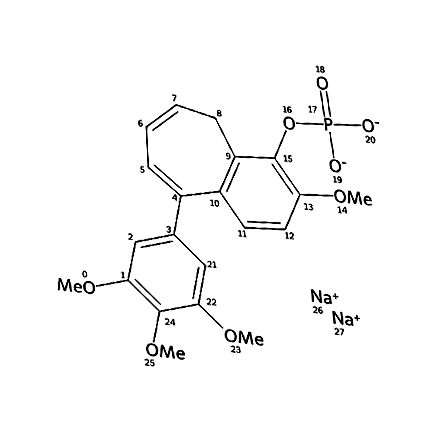 COc1cc(C2=CC=CCc3c2ccc(OC)c3OP(=O)([O-])[O-])cc(OC)c1OC.[Na+].[Na+]